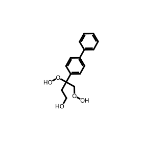 OCCC(COO)(OO)c1ccc(-c2ccccc2)cc1